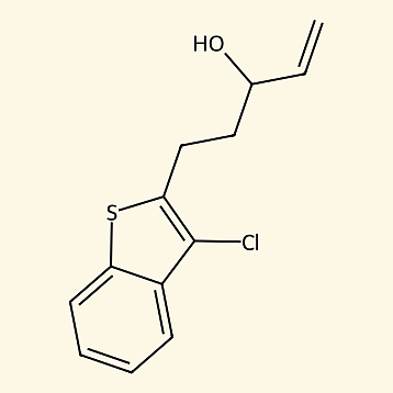 C=CC(O)CCc1sc2ccccc2c1Cl